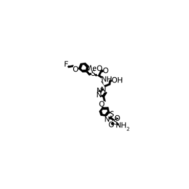 COC(=O)[C@@H](CSCc1cccc(OCCF)c1)NC[C@H](CCO)n1cc(COc2ccc3nc(S(N)(=O)=O)sc3c2)nn1